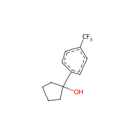 OC1(c2ccc(C(F)(F)F)cc2)CCCC1